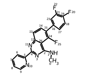 CNc1nc(-c2ccccn2)nc2ccc(-c3ccc(F)c(F)c3)c(F)c12